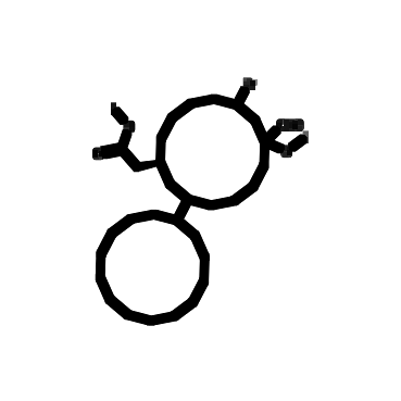 O=CC1(OI)CCCCC(C2CCCCCCCCCCCCC2)C[C@@H](CC(=O)OI)CCCCC(Br)C1